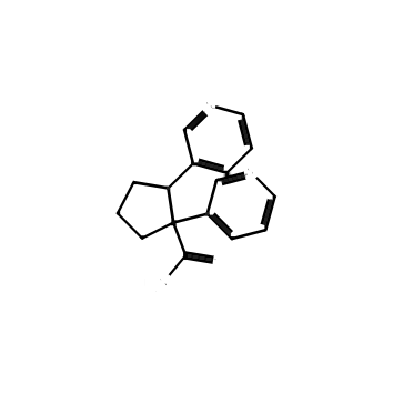 NC(=O)C1(c2cccnc2)CCCC1c1cccnc1